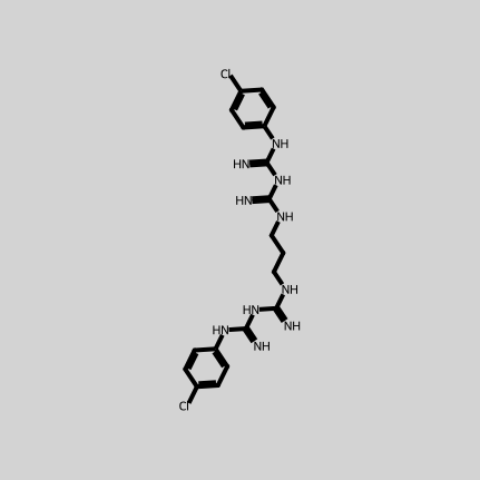 N=C(NCCCNC(=N)NC(=N)Nc1ccc(Cl)cc1)NC(=N)Nc1ccc(Cl)cc1